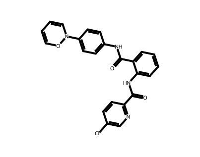 O=C(Nc1ccccc1C(=O)Nc1ccc(N2C=CC=CO2)cc1)c1ccc(Cl)cn1